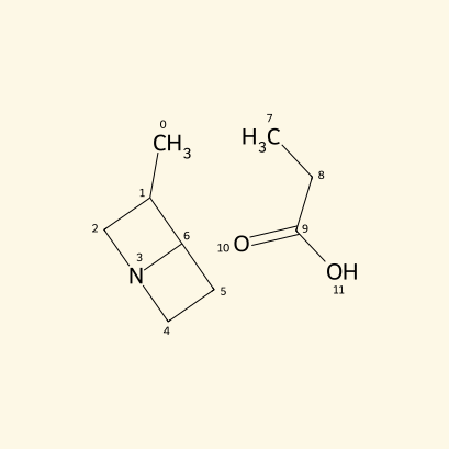 CC1CN2CCC12.CCC(=O)O